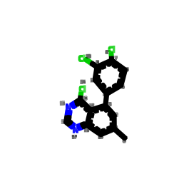 Cc1cc(-c2ccc(Cl)c(Cl)c2)c2c(Cl)ncnc2c1